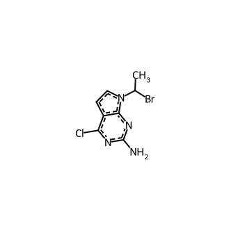 CC(Br)n1ccc2c(Cl)nc(N)nc21